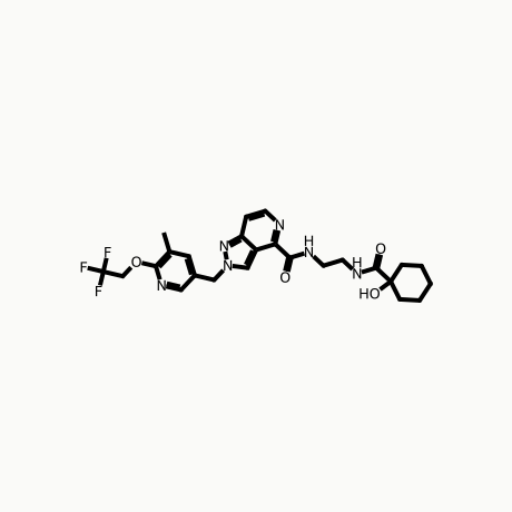 Cc1cc(Cn2cc3c(C(=O)NCCNC(=O)C4(O)CCCCC4)nccc3n2)cnc1OCC(F)(F)F